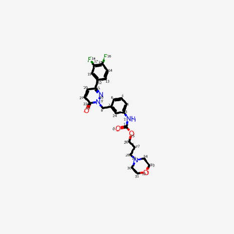 O=C(Nc1cccc(Cn2nc(-c3ccc(F)c(F)c3)ccc2=O)c1)OCCCN1CCOCC1